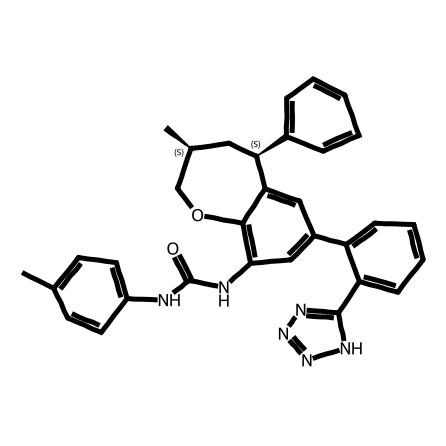 Cc1ccc(NC(=O)Nc2cc(-c3ccccc3-c3nnn[nH]3)cc3c2OC[C@@H](C)C[C@H]3c2ccccc2)cc1